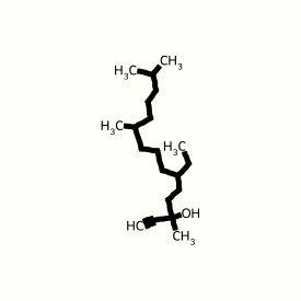 C#CC(C)(O)CCC(CC)CCCC(C)CCCC(C)C